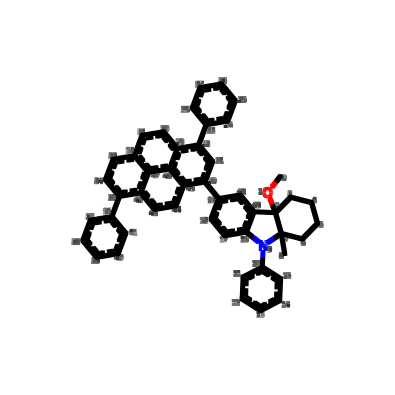 COC12CCCCC1(C)N(c1ccccc1)c1ccc(-c3cc(-c4ccccc4)c4ccc5ccc(-c6ccccc6)c6ccc3c4c56)cc12